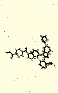 C=CC(=O)N1CCC(N[C@H]2CCc3cc(-n4c(-c5cccnc5N)nc5ccc(-n6nccn6)nc54)ccc32)CC1